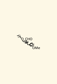 COc1cc(Cc2cn(COCC[Si](C)(C)C)c(C=O)n2)ccn1